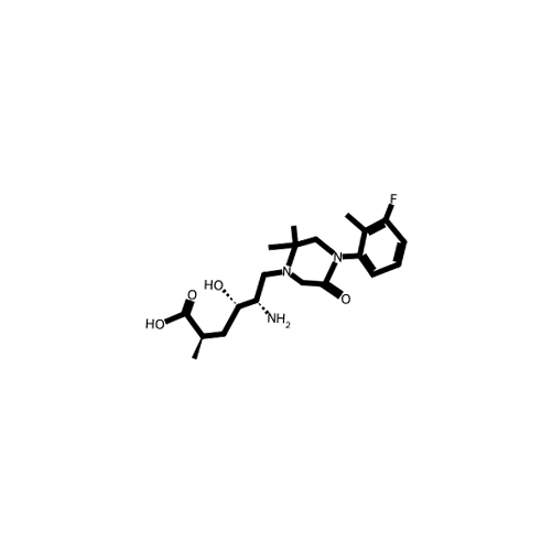 Cc1c(F)cccc1N1CC(C)(C)N(C[C@H](N)[C@@H](O)C[C@@H](C)C(=O)O)CC1=O